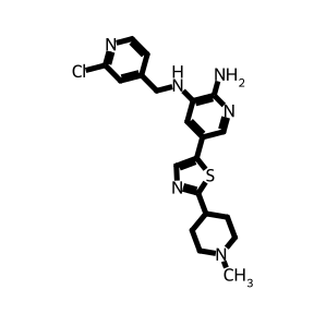 CN1CCC(c2ncc(-c3cnc(N)c(NCc4ccnc(Cl)c4)c3)s2)CC1